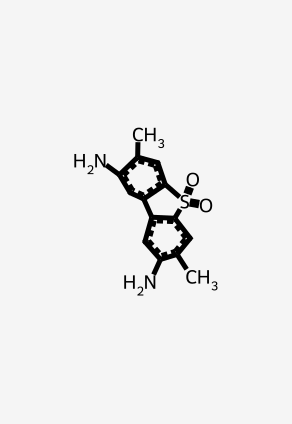 Cc1cc2c(cc1N)-c1cc(N)c(C)cc1S2(=O)=O